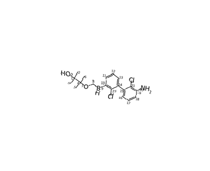 CC(C)(O)C(C)(C)OCBc1cccc(-c2cccc(N)c2Cl)c1Cl